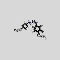 CCCCc1ccc(/C=N/N=C\c2cc(F)c(OC(F)(F)F)c(F)c2)cc1